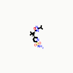 CC(C)c1noc([C@@H]2[C@@H](c3ccc(S(N)(=O)=O)nc3)C2(C)C)n1